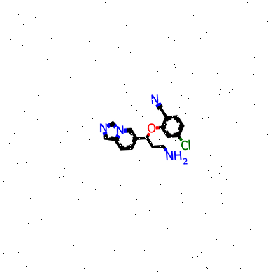 N#Cc1ccc(Cl)cc1OC(CCN)c1ccc2cncn2c1